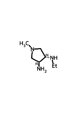 CCN[C@H]1CN(C)C[C@@H]1N